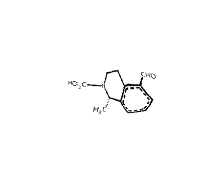 C[C@H]1c2cccc(C=O)c2CCN1C(=O)O